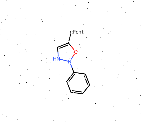 [CH2]CCCCC1=CNN(c2ccccc2)O1